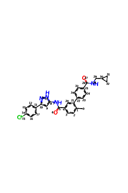 Cc1ccc(C(=O)Nc2cc(-c3ccc(Cl)cc3)n[nH]2)cc1-c1ccc(C(=O)NCC2CC2)cc1